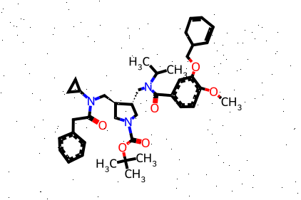 COc1ccc(C(=O)N(C[C@@H]2CN(C(=O)OC(C)(C)C)C[C@H]2CN(C(=O)Cc2ccccc2)C2CC2)C(C)C)cc1OCC1C=CC=CC1